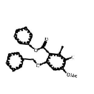 COc1cc(OCc2ccccc2)c(C(=O)Oc2ccccc2)c(C)c1Cl